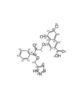 O=C(O)c1cc(OCC(=O)N(OCc2nnn[nH]2)c2ccccc2)c2c(Cl)cc(Cl)cc2c1